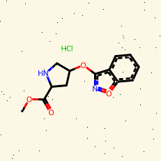 COC(=O)C1CC(Oc2noc3ccccc23)CN1.Cl